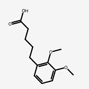 COc1cccc(CCCCC(=O)O)c1OC